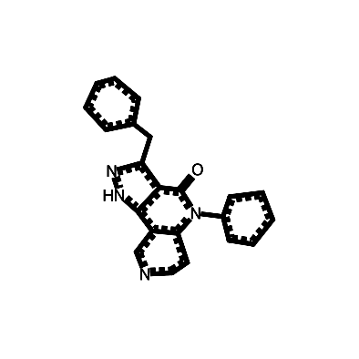 O=c1c2c(Cc3ccccc3)n[nH]c2c2cnccc2n1-c1ccccc1